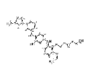 C/C=C\c1ncnc(Nc2ccc(Oc3cccc(-c4nc(C)co4)c3)c(Cl)c2)c1CCCOCCO